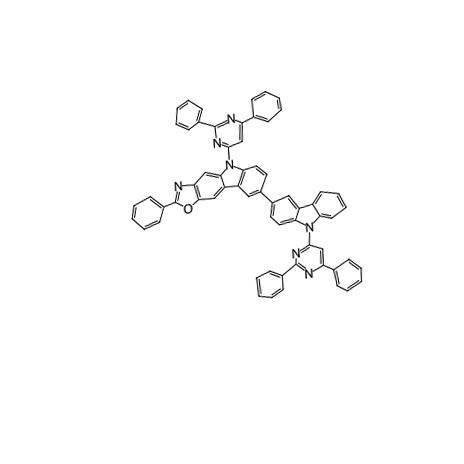 c1ccc(-c2cc(-n3c4ccccc4c4cc(-c5ccc6c(c5)c5cc7oc(-c8ccccc8)nc7cc5n6-c5cc(-c6ccccc6)nc(-c6ccccc6)n5)ccc43)nc(-c3ccccc3)n2)cc1